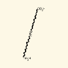 O=C(O)CCCCCCCCCCCCCOOOCCCCCCCCCCCCCC(=O)O